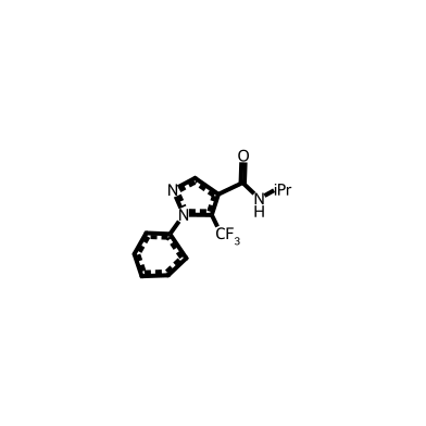 CC(C)NC(=O)c1cnn(-c2ccccc2)c1C(F)(F)F